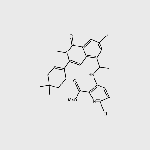 COC(=O)c1nc(Cl)ccc1NC(C)c1cc(C)cc2c(=O)n(C)c(C3=CCC(C)(C)CC3)cc12